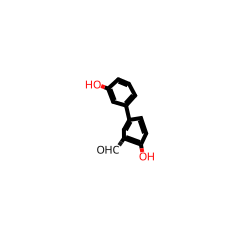 O=Cc1cc(-c2cccc(O)c2)ccc1O